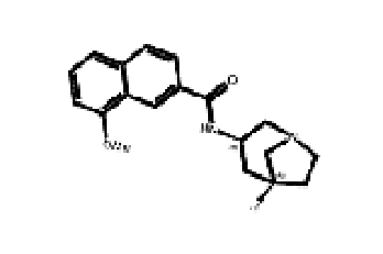 COc1cccc2ccc(C(=O)N[C@@H]3C[C@H]4CCN(C4)C3)cc12